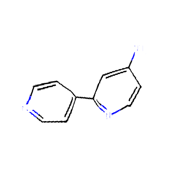 Nc1ccnc(-c2ccncc2)c1